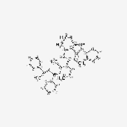 C=C(/C=C(\C=C(/C)c1ccccc1)c1ccccc1)C(/C=C\C)=C1\SC(C)=c2/c(=C\C)nc(-c3ccccc3)n2C1=C